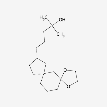 CC(C)(O)CCC[C@H]1CC[C@]2(CCCC3(C2)OCCO3)C1